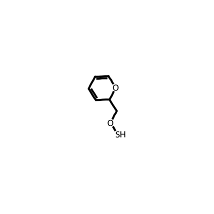 SOCC1C=CC=CO1